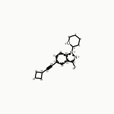 Fc1nn(C2CCCCO2)c2ccc(C#CC3CCC3)cc12